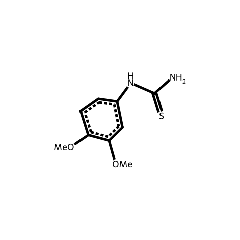 COc1ccc(NC(N)=S)cc1OC